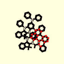 C=CN(C1=C(B(c2cc3c(cc2N(C)c2c(-c4ccccc4)cccc2-c2ccccc2)N(c2ccccc2)c2cc(N(c4ccccc4)c4ccccc4)cc4c2B3C2=C(c3ccccc3C2(C)C)N4c2ccccc2)C(C)[C@H](C)N(c2ccccc2)c2ccccc2)C(C)(C)c2ccccc21)c1ccccc1